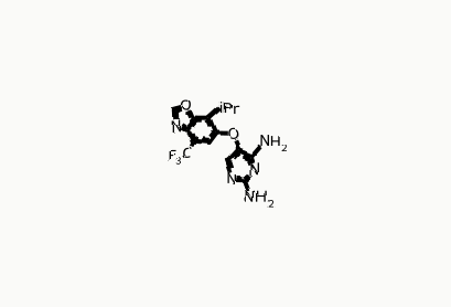 CC(C)c1c(Oc2cnc(N)nc2N)cc(C(F)(F)F)c2ncoc12